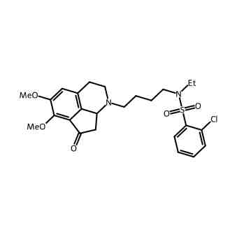 CCN(CCCCN1CCc2cc(OC)c(OC)c3c2C1CC3=O)S(=O)(=O)c1ccccc1Cl